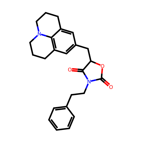 O=C1OC(Cc2cc3c4c(c2)CCCN4CCC3)C(=O)N1CCc1ccccc1